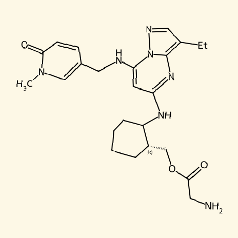 CCc1cnn2c(NCc3ccc(=O)n(C)c3)cc(NC3CCCC[C@H]3COC(=O)CN)nc12